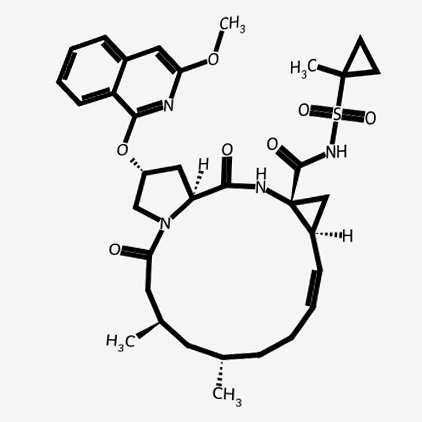 COc1cc2ccccc2c(O[C@@H]2C[C@H]3C(=O)N[C@]4(C(=O)NS(=O)(=O)C5(C)CC5)C[C@H]4/C=C\CC[C@H](C)C[C@@H](C)CC(=O)N3C2)n1